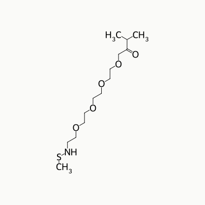 CSNCCOCCOCCOCCOCC(=O)C(C)C